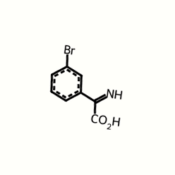 N=C(C(=O)O)c1cccc(Br)c1